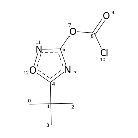 CC(C)(C)c1nc(OC(=O)Cl)no1